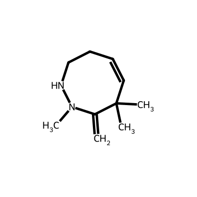 C=C1N(C)NCC/C=C\C1(C)C